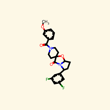 COc1cccc(C(=O)N2CCC3(CC2)OC2CCC(c4cc(F)cc(F)c4)N2C3=O)c1